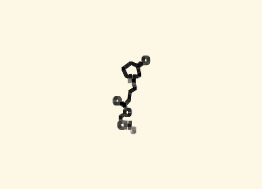 CCOC(=O)CCCN1CCCC(=O)C1